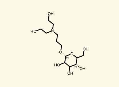 OCCN(CCO)CCCO[C@@H]1OC(CO)[C@H](O)C(O)C1O